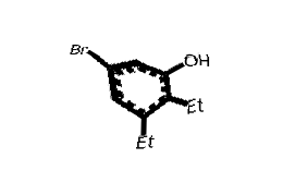 CCc1cc(Br)cc(O)c1CC